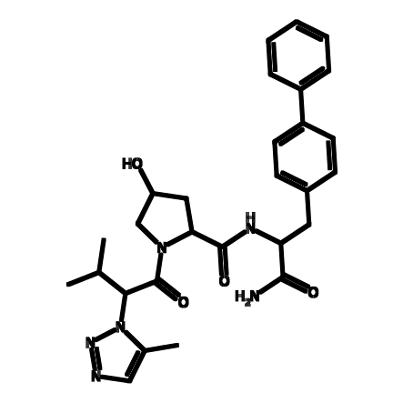 Cc1cnnn1C(C(=O)N1CC(O)CC1C(=O)NC(Cc1ccc(-c2ccccc2)cc1)C(N)=O)C(C)C